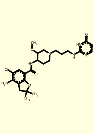 COC1CN(CCCNc2nccc(=O)[nH]2)CCC1NC(=O)c1cc(Cl)c(N)c2c1OC(C)(C)C2